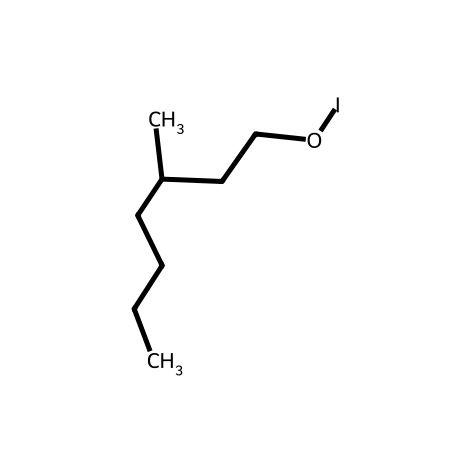 CCCCC(C)CCOI